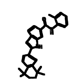 Cc1ccccc1NC(=O)c1ccc2cc(-c3ccc4c(c3)C(C)(C)CCC4(C)C)[nH]c2c1